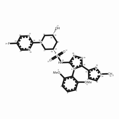 COc1cccc(OC)c1-n1c(NS(=O)(=O)[C@H]2C[C@@H](O)CN(c3ncc(F)cn3)C2)nnc1-c1ccn(C)n1